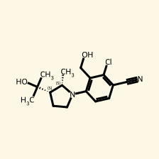 C[C@H]1[C@@H](C(C)(C)O)CCN1c1ccc(C#N)c(Cl)c1CO